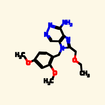 CCOCc1nc2c(N)nncc2n1Cc1ccc(OC)cc1OC